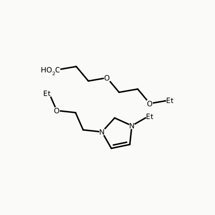 CCOCCN1C=CN(CC)C1.CCOCCOCCC(=O)O